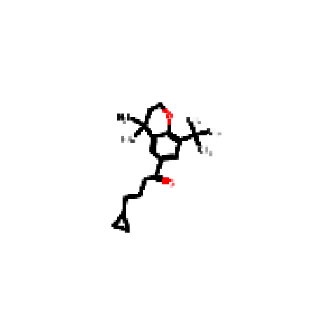 CC(C)(C)c1cc(C(=O)CCCC2CC2)cc2c1OCCC2(C)C